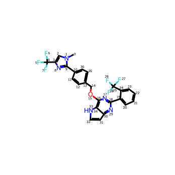 Cn1cc(C(F)(F)F)nc1-c1ccc(COc2nc(-c3ccccc3C(F)(F)F)nc3cc[nH]c23)cc1